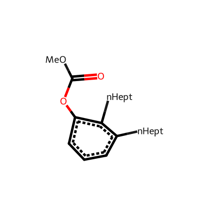 CCCCCCCc1cccc(OC(=O)OC)c1CCCCCCC